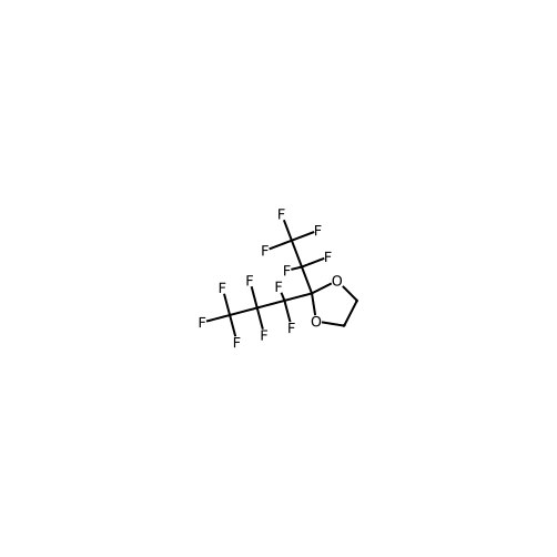 FC(F)(F)C(F)(F)C(F)(F)C1(C(F)(F)C(F)(F)F)OCCO1